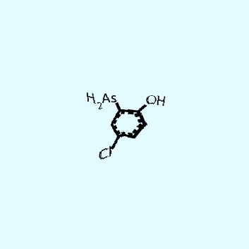 Oc1ccc(Cl)cc1[AsH2]